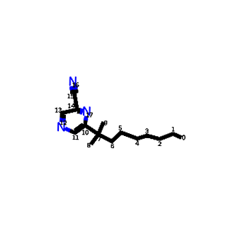 CCCCCCCC(C)(C)c1cncc(C#N)n1